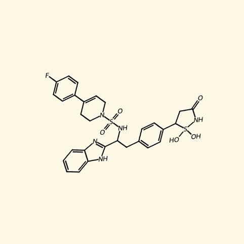 O=C1CC(c2ccc(CC(NS(=O)(=O)N3CC=C(c4ccc(F)cc4)CC3)c3nc4ccccc4[nH]3)cc2)S(O)(O)N1